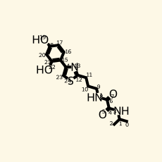 CC(C)NC(=O)C(=O)NCCCc1nc(-c2ccc(O)cc2O)cs1